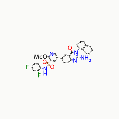 COc1ncc(-c2ccc3nc(N)n(-c4cccc5ccccc45)c(=O)c3c2)cc1S(=O)(=O)Nc1ccc(F)cc1F